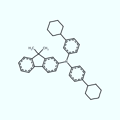 CC1(C)c2ccccc2-c2ccc(N(c3ccc(C4CCCCC4)cc3)c3cccc(C4CCCCC4)c3)cc21